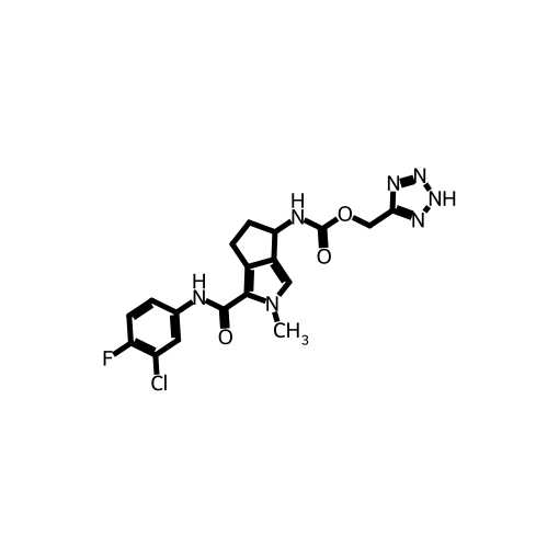 Cn1cc2c(c1C(=O)Nc1ccc(F)c(Cl)c1)CCC2NC(=O)OCc1nn[nH]n1